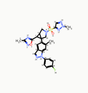 Cc1noc(C2C3CN(S(=O)(=O)c4cnn(C)n4)CC32c2cc3cnn(-c4ccc(F)cc4)c3cc2C)n1